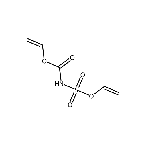 C=COC(=O)NS(=O)(=O)OC=C